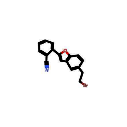 N#Cc1ccccc1-c1cc2cc(CCBr)ccc2o1